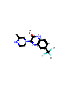 CC1CN(c2nc3cc(C(F)(F)F)ccc3[nH]c2=O)CCN1